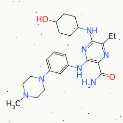 CCc1nc(C(N)=O)c(Nc2cccc(N3CCN(C)CC3)c2)nc1NC1CCC(O)CC1